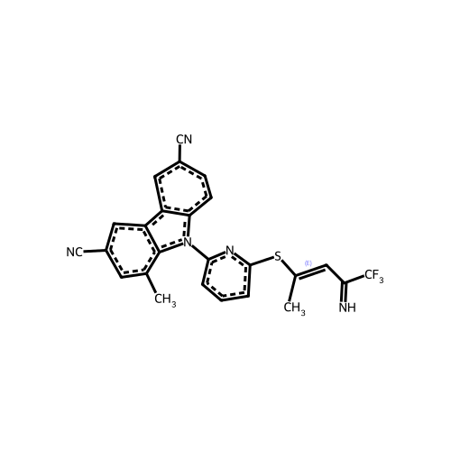 C/C(=C\C(=N)C(F)(F)F)Sc1cccc(-n2c3ccc(C#N)cc3c3cc(C#N)cc(C)c32)n1